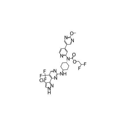 COc1ncc(-c2ccnc(N(C(=O)OCC(F)F)[C@H]3CC[C@H](Nc4ncc(C(F)(F)F)c(-c5n[nH]cc5Cl)n4)CC3)c2)cn1